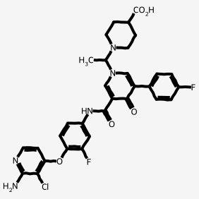 CC(N1CCC(C(=O)O)CC1)n1cc(C(=O)Nc2ccc(Oc3ccnc(N)c3Cl)c(F)c2)c(=O)c(-c2ccc(F)cc2)c1